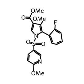 COC(=O)c1cn(S(=O)(=O)c2ccc(OC)nc2)c(-c2ccccc2F)c1OC